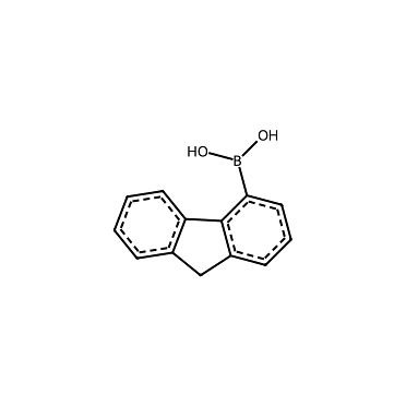 OB(O)c1cccc2c1-c1ccccc1C2